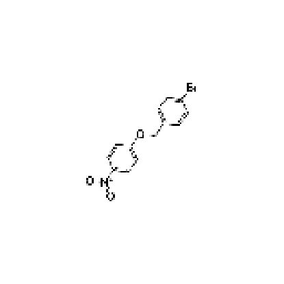 O=[N+]([O-])c1ccc(OCc2ccc(Br)cc2)cc1